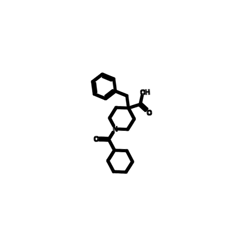 O=C(C1CCCCC1)N1CCC(Cc2ccccc2)(C(=O)O)CC1